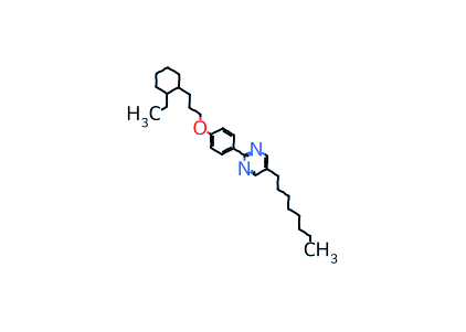 CCCCCCCCc1cnc(-c2ccc(OCCCC3CCCCC3CC)cc2)nc1